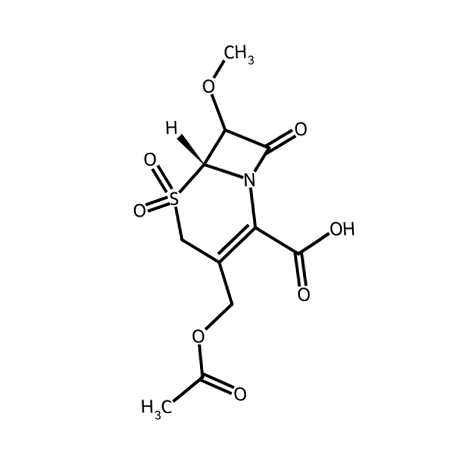 COC1C(=O)N2C(C(=O)O)=C(COC(C)=O)CS(=O)(=O)[C@H]12